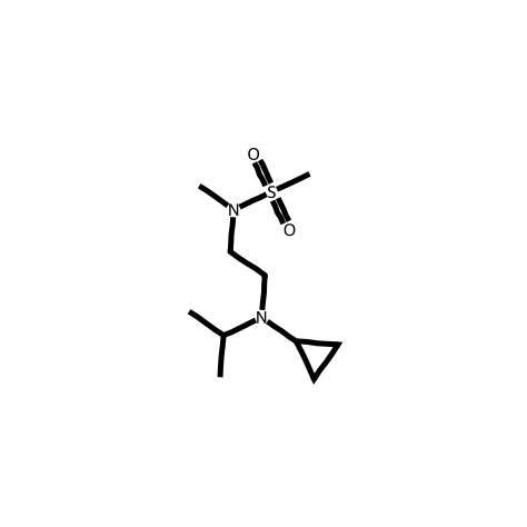 CC(C)N(CCN(C)S(C)(=O)=O)C1CC1